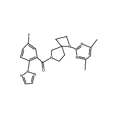 Cc1cc(C)nc(N2CCC23CCN(C(=O)c2cc(F)ccc2-n2nccn2)C3)n1